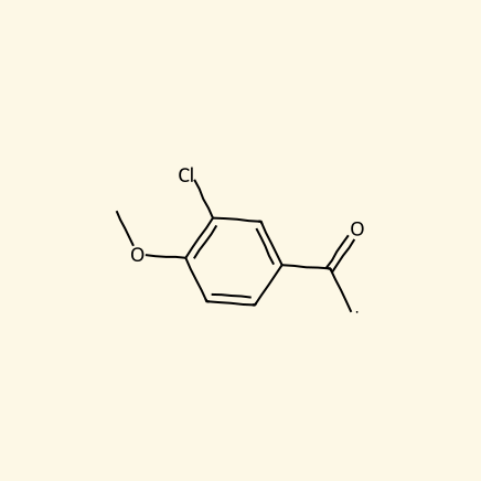 [CH2]C(=O)c1ccc(OC)c(Cl)c1